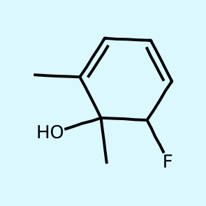 CC1=CC=CC(F)C1(C)O